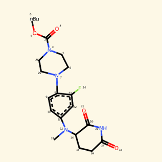 CCCCOC(=O)N1CCN(c2ccc(N(C)C3CCC(=O)NC3=O)cc2F)CC1